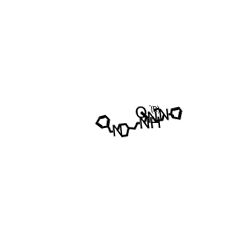 C[C@@H]1CN(c2ccccc2)CCN1C(=O)NCCC1CCN(Cc2ccccc2)CC1